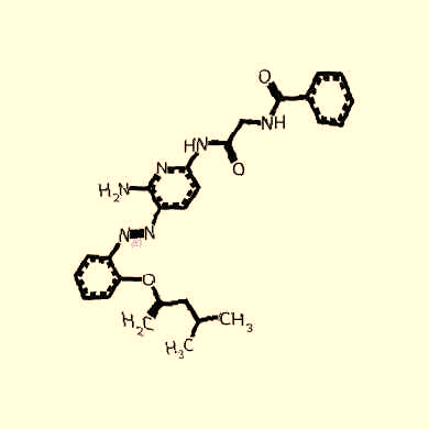 C=C(CC(C)C)Oc1ccccc1/N=N/c1ccc(NC(=O)CNC(=O)c2ccccc2)nc1N